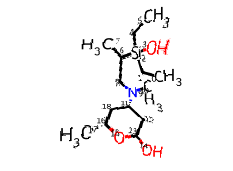 CC[Si](O)(CC)C(C)CN(C)[C@@H]1CC(O)O[C@H](C)C1